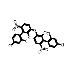 O=[N+]([O-])c1ccc(Sc2ccc([N+](=O)[O-])c(-c3ccc(Cl)cc3Cl)c2Cl)c(Cl)c1-c1ccc(Cl)cc1Cl